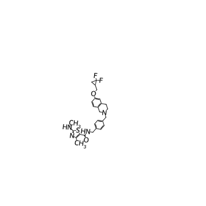 CNc1nc(C)c(C(=O)NCc2ccc(CN3CCc4cc(OCC5CC5(F)F)ccc4C3)cc2)s1